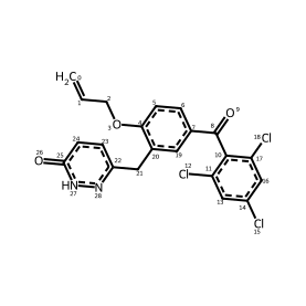 C=CCOc1ccc(C(=O)c2c(Cl)cc(Cl)cc2Cl)cc1Cc1ccc(=O)[nH]n1